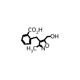 Cc1noc(CO)c1Cc1ccccc1C(=O)O